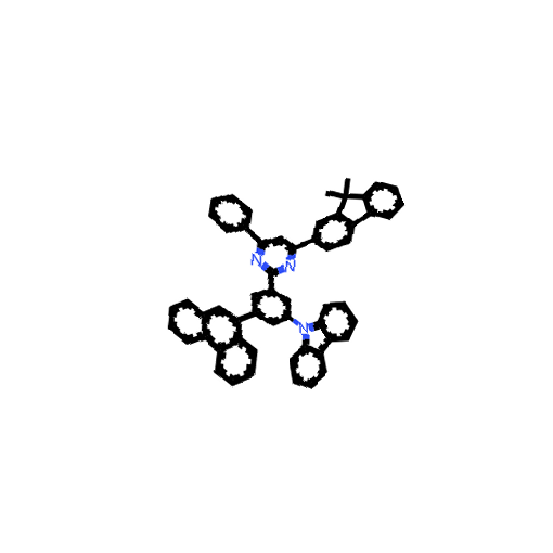 CC1(C)c2ccccc2-c2ccc(-c3cc(-c4ccccc4)nc(-c4cc(-c5cc6ccccc6c6ccccc56)cc(-n5c6ccccc6c6ccccc65)c4)n3)cc21